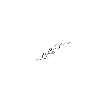 CCCCCC1CCC(C2OCC(C3OCC(CCCC)CO3)CO2)CC1